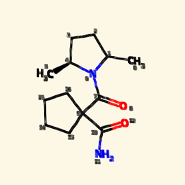 CC1CC[C@H](C)N1C(=O)C1(C(N)=O)CCCC1